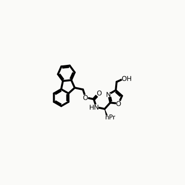 CCC[C@@H](NC(=O)OCC1c2ccccc2-c2ccccc21)c1nc(CO)co1